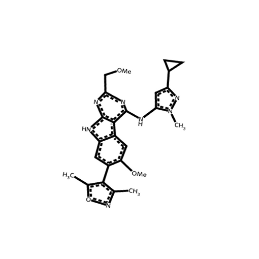 COCc1nc(Nc2cc(C3CC3)nn2C)c2c(n1)[nH]c1cc(-c3c(C)noc3C)c(OC)cc12